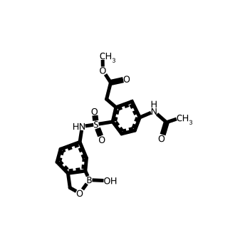 COC(=O)Cc1cc(NC(C)=O)ccc1S(=O)(=O)Nc1ccc2c(c1)B(O)OC2